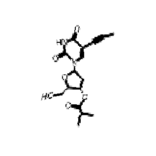 CC#Cc1cn([C@H]2C[C@H](OC(=O)C(C)C)[C@@H](CO)O2)c(=O)[nH]c1=O